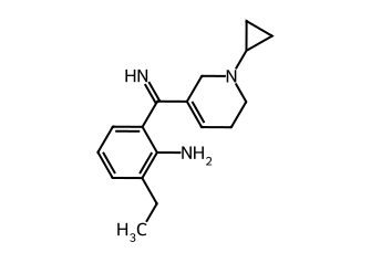 CCc1cccc(C(=N)C2=CCCN(C3CC3)C2)c1N